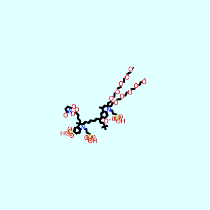 COCCOCCOCCOCCOCCC1(CCOCCOCCOCCOCCOC)C=C(C)c2cc3c(/C=C/C=C/C=C4\N(CCCS(=O)(=O)O)c5ccc(S(=O)(=O)O)cc5C4(C)CCCC(=O)ON4C(=O)CCC4=O)cc(C(C)(C)C)[o+]c3cc2N1CCCS(=O)(=O)O